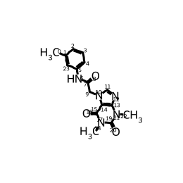 Cc1cccc(NC(=O)Cn2cnc3c2c(=O)n(C)c(=O)n3C)c1